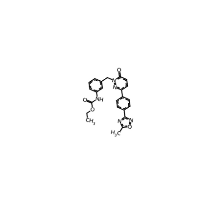 CCOC(=O)Nc1cccc(Cn2nc(-c3ccc(-c4noc(C)n4)cc3)ccc2=O)c1